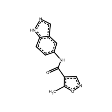 Cc1oncc1C(=O)Nc1ccc2[nH]ncc2c1